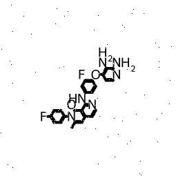 Cc1cc2ccnc(Nc3ccc(Oc4ccnc(N)c4N)c(F)c3)c2c(=O)n1-c1ccc(F)cc1